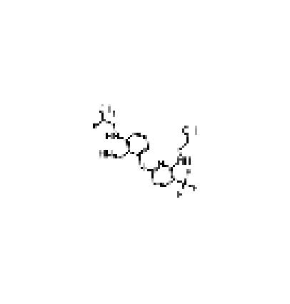 CC(F)CNc1cccc(Nc2ncc(C(F)(F)F)c(NCCO)n2)c1C=N